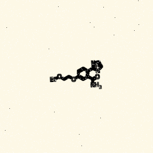 CCOCCOc1ccc(-c2ncc[nH]2)c(C(N)=O)c1